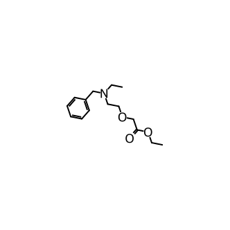 CCOC(=O)COCCN(CC)Cc1ccccc1